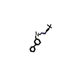 CN(C/C=C/C#CC(C)(C)C)Cc1cccc(-c2ccccc2)c1